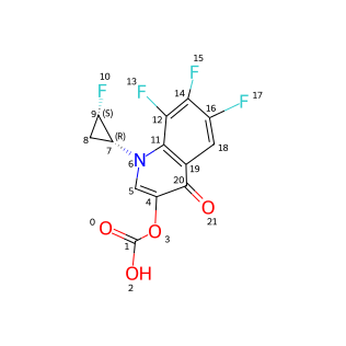 O=C(O)Oc1cn([C@@H]2C[C@@H]2F)c2c(F)c(F)c(F)cc2c1=O